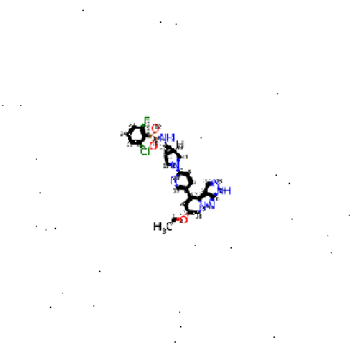 CCOc1cc(-c2ccc(N3CC4[C@H](C3)[C@H]4NS(=O)(=O)c3c(F)cccc3Cl)nc2)c2c3cn[nH]c3nn2c1